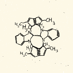 CC1=CC=C(C)C1N1c2ccccc2N(C2C(C)=CC=C2C)C1C1N(C2C(C)=CC=C2C)c2ccccc2N1C1C(C)=CC=C1C